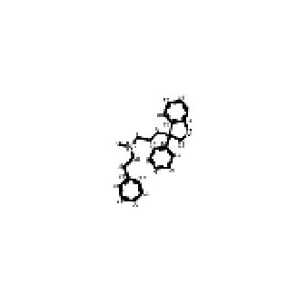 CN(CCCC1(c2ccccc2)COc2ccccc21)CCc1ccccc1